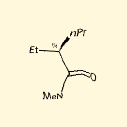 CCC[C@H](CC)C(=O)NC